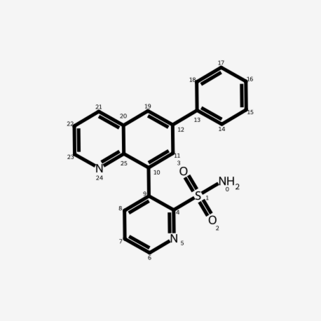 NS(=O)(=O)c1ncccc1-c1cc(-c2ccccc2)cc2cccnc12